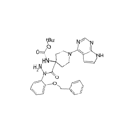 CC(C)(C)OC(=O)NC1(C(=O)N(N)c2ccccc2OCc2ccccc2)CCN(c2ncnc3[nH]ccc23)CC1